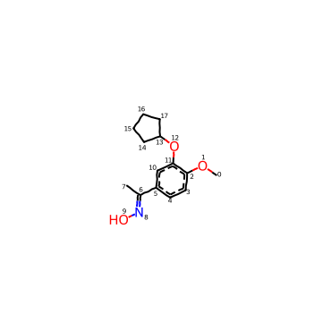 COc1ccc(C(C)=NO)cc1OC1CCCC1